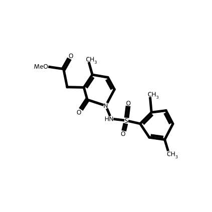 COC(=O)Cc1c(C)ccn(NS(=O)(=O)c2cc(C)ccc2C)c1=O